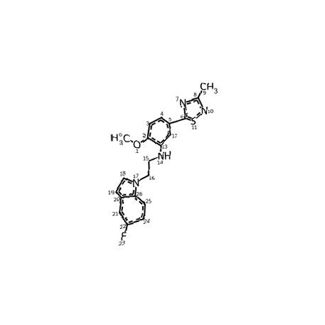 COc1ccc(-c2nc(C)ns2)cc1NCCn1ccc2cc(F)ccc21